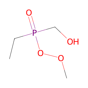 CCP(=O)(CO)OOC